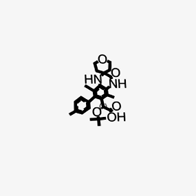 Cc1ccc(-c2c(C)c3c(c(C)c2[C@H](OC(C)(C)C)C(=O)O)NC(=O)C2(CCOCC2)N3)cc1